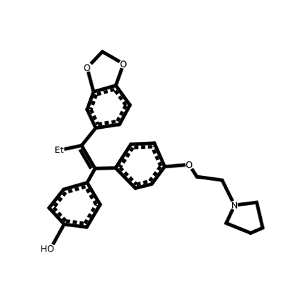 CCC(=C(c1ccc(O)cc1)c1ccc(OCCN2CCCC2)cc1)c1ccc2c(c1)OCO2